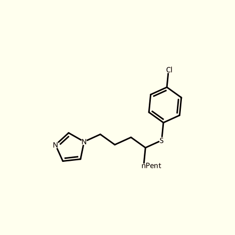 CCCCCC(CCCn1ccnc1)Sc1ccc(Cl)cc1